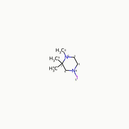 CN1CCN(I)CC1(C)C